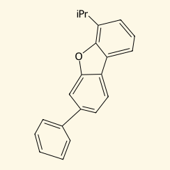 CC(C)c1cccc2c1oc1cc(-c3ccccc3)ccc12